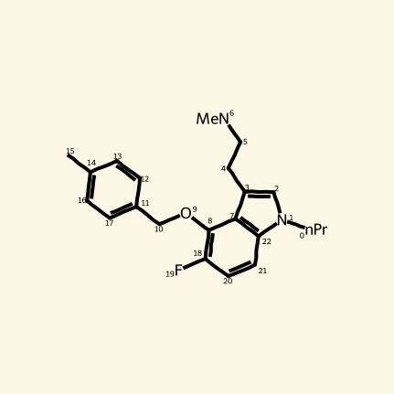 CCCn1cc(CCNC)c2c(OCc3ccc(C)cc3)c(F)ccc21